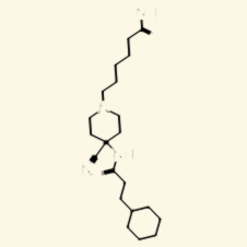 N#CC1(NC(=O)[CH]CC2CCCCC2)CCN(CCCCCC(N)=O)CC1